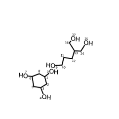 OC1CC(O)CC(O)C1.OCCCC(CO)CO